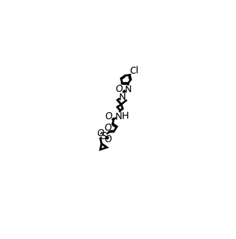 O=C(NC1CC2(C1)CN(c1nc3cc(Cl)ccc3o1)C2)c1ccc(S(=O)(=O)CC2CC2)o1